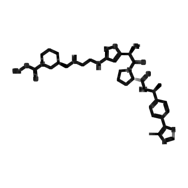 Cc1ncsc1-c1ccc([C@H](C)NC(=O)[C@@H]2CCCN2C(=O)[C@@H](c2cc(NCCNC[C@@H]3CCCN(C(=O)OC(C)(C)C)C3)no2)C(C)C)cc1